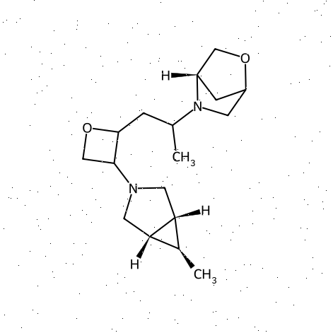 CC(CC1OCC1N1C[C@@H]2[C@@H](C)[C@@H]2C1)N1CC2C[C@H]1CO2